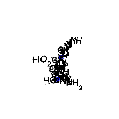 N=CN1CC(N2CC/C(=C\C3=C(C(=O)O)N4C(=O)[C@@H](NC(=O)/C(=N\O)c5nsc(N)n5)[C@H]4SC3)C2=O)C1